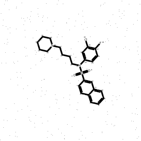 O=S(=O)(c1ccc2ccccc2c1)N(CCCCN1CCCCC1)c1ccc(F)c(Cl)c1